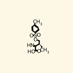 CC[C@H](COS(=O)(=O)c1ccc(C)cc1)C(=N)C(=O)O